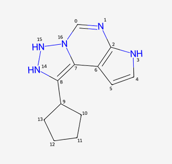 C1=Nc2[nH]ccc2C2=C(C3CCCC3)NNN12